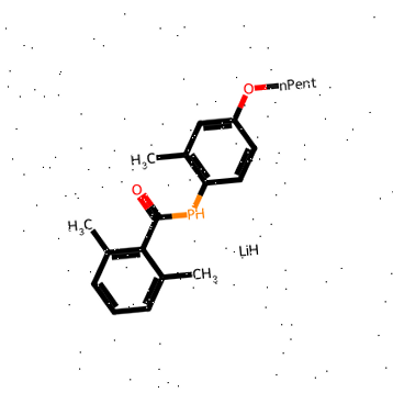 CCCCCOc1ccc(PC(=O)c2c(C)cccc2C)c(C)c1.[LiH]